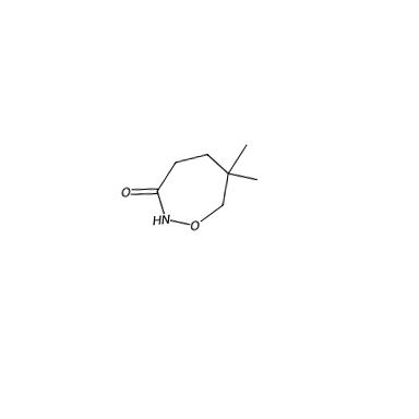 CC1(C)CCC(=O)NOC1